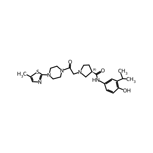 Cc1cnc(N2CCN(C(=O)CN3CC[C@@H](C(=O)Nc4ccc(O)c(C(C)C)c4)C3)CC2)s1